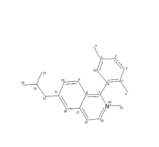 Cc1ccc(C)c(-c2c3ccc(CC(C)C)cc3cc[n+]2C)c1